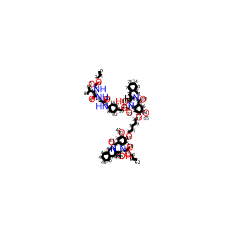 C=CCOC(=O)N[C@H](C(=O)NCC(=O)Nc1ccc(COC(=O)N2c3cc(OCCCCCOc4cc5c(cc4OC)C(=O)N4Cc6ccccc6C[C@H]4C(O)N5C(=O)OCC=C)c(OC)cc3C(=O)N3Cc4ccccc4C[C@H]3C2O)cc1)C(C)C